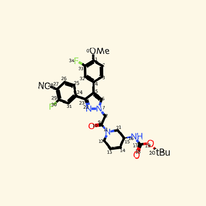 COc1ccc(-c2cn(CC(=O)N3CCC[C@H](NC(=O)OC(C)(C)C)C3)nc2-c2ccc(C#N)c(F)c2)cc1F